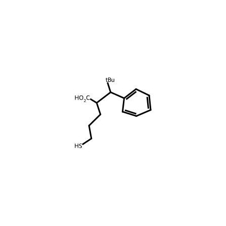 CC(C)(C)C(c1ccccc1)C(CCCS)C(=O)O